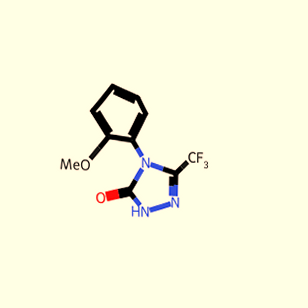 COc1ccccc1-n1c(C(F)(F)F)n[nH]c1=O